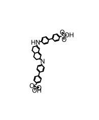 O=S(=O)(O)c1ccc(-c2ccc(/N=C3/C=C4C=C(Nc5ccc(-c6ccc(S(=O)(=O)O)cc6)cc5)CCC4CC3)cc2)cc1